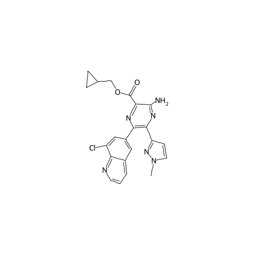 Cn1ccc(-c2nc(N)c(C(=O)OCC3CC3)nc2-c2cc(Cl)c3ncccc3c2)n1